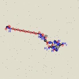 CCn1nc(C)cc1C(=O)/N=c1\[nH]c2cc(C(N)=O)cc(OC)c2n1C/C=C/Cn1/c(=N/C(=O)c2cc(C)nn2CC)[nH]c2cc(C(N)=O)cc(OCCCN3CCN(C(=O)OCc4ccc(NC(=O)[C@@H](NC(=O)[C@@H]5CCCN5C(=O)[C@H](C)NC(=O)CCOCCOCCOCCOCCOCCOCCOCCOCCOCCOCCNC(=O)CN5C(=O)C=CC5=O)C(C)C)cc4)CC3)c21